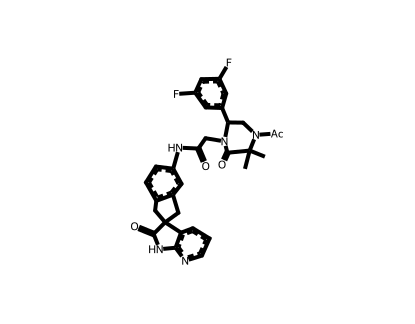 CC(=O)N1CC(c2cc(F)cc(F)c2)N(CC(=O)Nc2ccc3c(c2)CC2(C3)C(=O)Nc3ncccc32)C(=O)C1(C)C